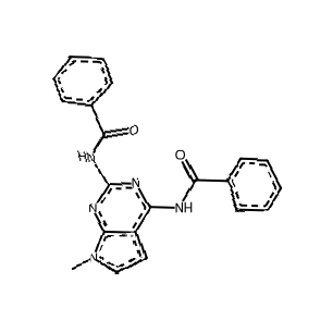 Cn1ccc2c(NC(=O)c3ccccc3)nc(NC(=O)c3ccccc3)nc21